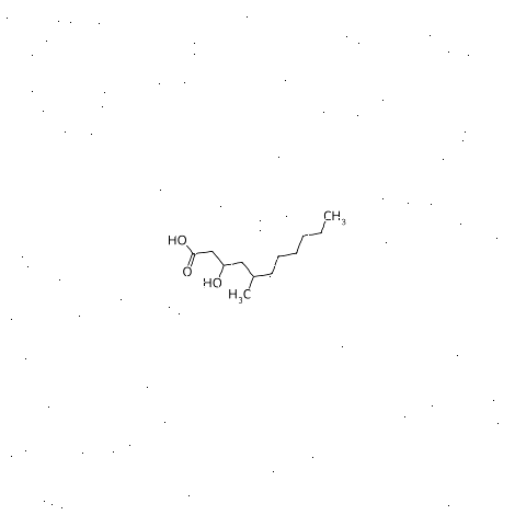 CCCCCCC(C)CC(O)CC(=O)O